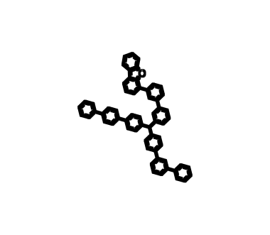 c1ccc(-c2ccc(-c3ccc(C(c4ccc(-c5cccc(-c6ccccc6)c5)cc4)c4cccc(-c5cccc(-c6cccc7c6oc6ccccc67)c5)c4)cc3)cc2)cc1